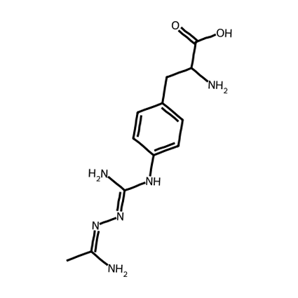 C/C(N)=N/N=C(\N)Nc1ccc(CC(N)C(=O)O)cc1